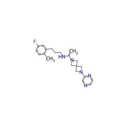 C=C(NCCCc1cc(F)ccc1C)N1CC2(C1)CN(c1cnccn1)C2